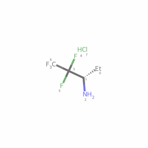 CC[C@H](N)C(F)(F)C(F)(F)F.Cl